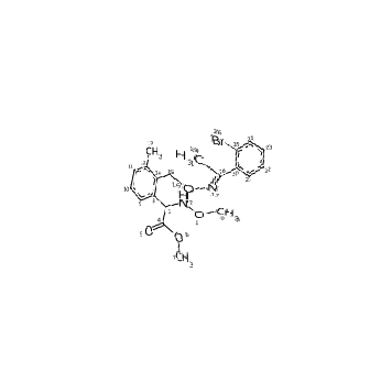 CONC(C(=O)OC)c1cccc(C)c1CO/N=C(\C)c1ccccc1Br